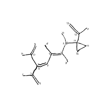 C=C(C)C(=C/C(C)=C(\C)N(C)C1(C(=C)C)CC1)C(=C)C